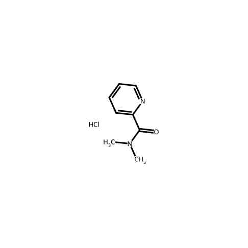 CN(C)C(=O)c1ccccn1.Cl